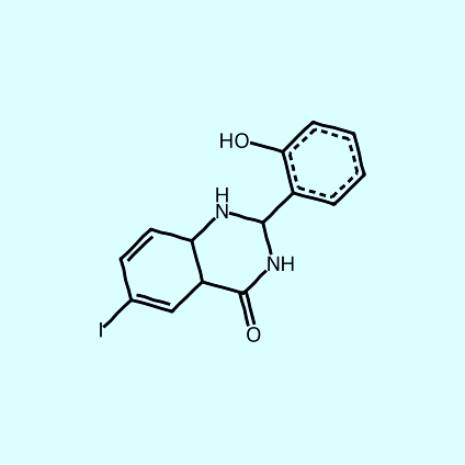 O=C1NC(c2ccccc2O)NC2C=CC(I)=CC12